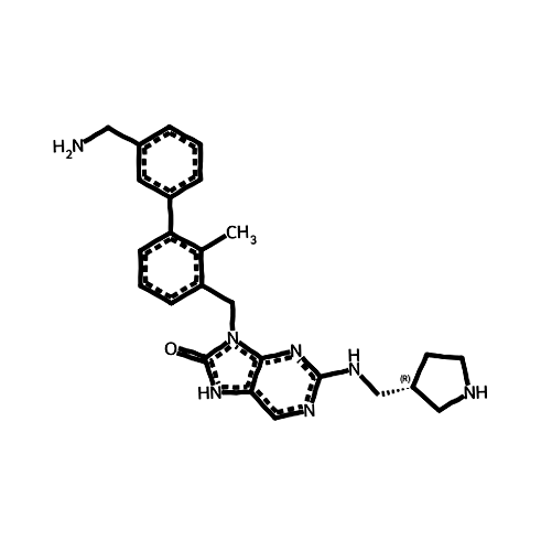 Cc1c(Cn2c(=O)[nH]c3cnc(NC[C@@H]4CCNC4)nc32)cccc1-c1cccc(CN)c1